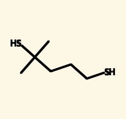 CC(C)(S)CCCS